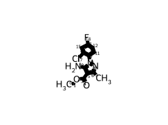 CCOC(=O)c1c(C)nn(-c2ccc(F)cc2Cl)c1N